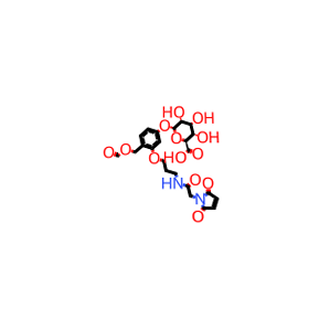 O=COCc1ccc(O[C@@H]2O[C@H](C(=O)O)[C@@H](O)[C@H](O)[C@H]2O)cc1OCCCNC(=O)CN1C(=O)C=CC1=O